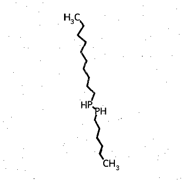 CCCCCCCCCCPPCCCCCC